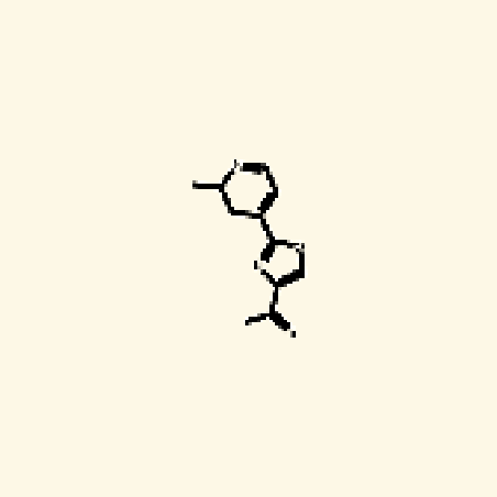 CC(=S)c1coc(C2=CC=NC(C)C2)n1